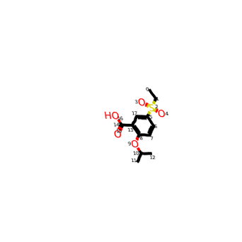 CCS(=O)(=O)c1ccc(OC(C)C)c(C(=O)O)c1